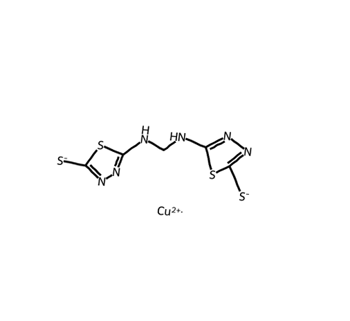 [Cu+2].[S-]c1nnc(NCNc2nnc([S-])s2)s1